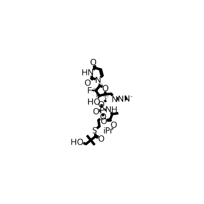 CC(C)OC(=O)C(C)NP(=O)(OCCSC(=O)C(C)(C)CO)OC[C@@]1(CN=[N+]=[N-])O[C@@H](n2ccc(=O)[nH]c2=O)[C@H](F)[C@@H]1O